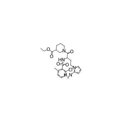 CCOC(=O)C1CCCN(C(=O)C(CCn2cccc2N)NS(=O)(=O)c2c(C)cccc2Cl)C1